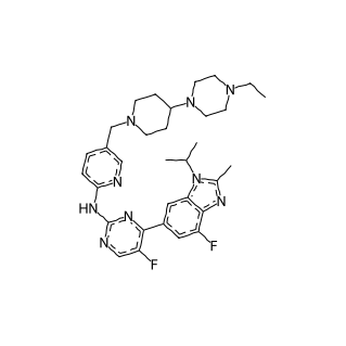 CCN1CCN(C2CCN(Cc3ccc(Nc4ncc(F)c(-c5cc(F)c6nc(C)n(C(C)C)c6c5)n4)nc3)CC2)CC1